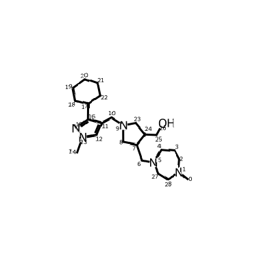 CN1CCCN(CC2CN(Cc3cn(C)nc3C3CCCCC3)CC2CO)CC1